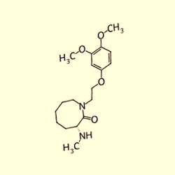 CN[C@@H]1CCCCCN(CCOc2ccc(OC)c(OC)c2)C1=O